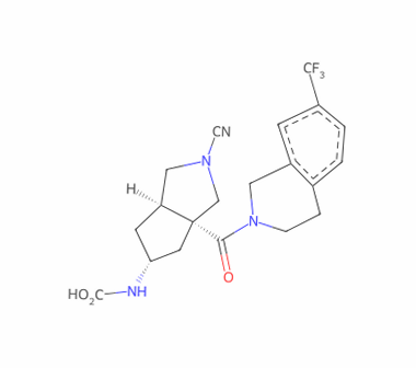 N#CN1C[C@@H]2C[C@@H](NC(=O)O)C[C@]2(C(=O)N2CCc3ccc(C(F)(F)F)cc3C2)C1